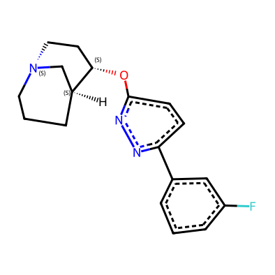 Fc1cccc(-c2ccc(O[C@H]3CC[N@@]4CCC[C@H]3C4)nn2)c1